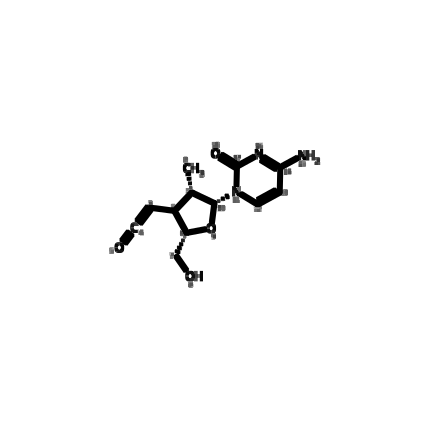 C[C@H]1C(C=C=O)[C@@H](CO)O[C@H]1n1ccc(N)nc1=O